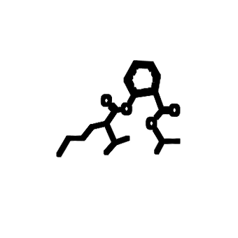 CCCCC(C(=O)Oc1ccccc1C(=O)OC(C)C)C(C)C